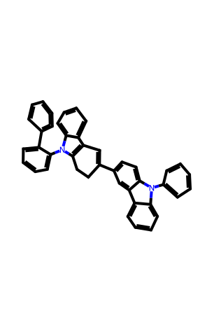 C1=C=C(c2ccccc2-n2c3c(c4ccccc42)C=C(c2ccc4c(c2)c2ccccc2n4-c2ccccc2)CC3)C=CC=1